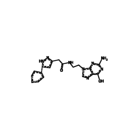 Nc1nc(O)c2ncn(CCNC(=O)Cc3cc(-c4ccccc4)[nH]n3)c2n1